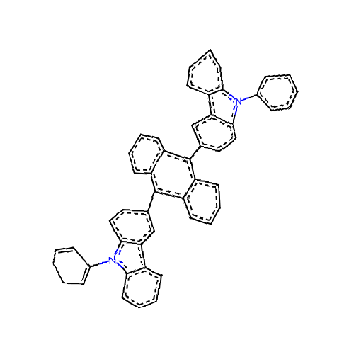 C1=CC(n2c3ccccc3c3cc(-c4c5ccccc5c(-c5ccc6c(c5)c5ccccc5n6-c5ccccc5)c5ccccc45)ccc32)=CCC1